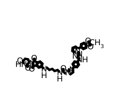 CS(=O)(=O)c1ccc(-c2cccc3nc(Nc4ccc(N5CCN(CC(=O)NCCCCCNc6ccc7c(c6)C(=O)N(C6CCC(=O)NC6=O)C7=O)C5)cc4)nn23)cc1